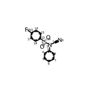 N#CN(c1ccccc1)S(=O)(=O)c1ccc(F)cc1